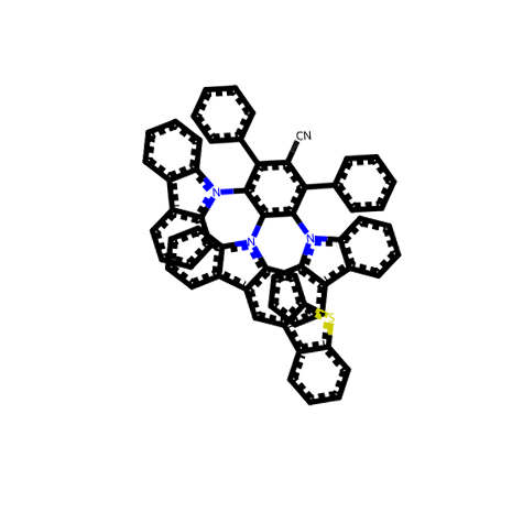 N#Cc1c(-c2ccccc2)c(-n2c3ccccc3c3ccccc32)c(-n2c3ccccc3c3cc4c(cc32)sc2ccccc24)c(-n2c3ccccc3c3ccccc32)c1-c1ccccc1